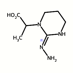 CC(C(=O)O)N1CCCN/C1=N\N